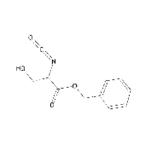 O=C=NC(CO)C(=O)OCc1ccccc1